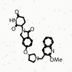 COc1nc2ccccc2cc1CN1CC[C@H](Oc2ccc3c(c2)CN(C2CCC(=O)NC2=O)C3=O)C1